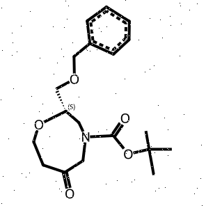 CC(C)(C)OC(=O)N1CC(=O)CCO[C@H](COCc2ccccc2)C1